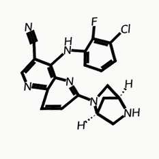 N#Cc1cnc2ccc(N3C[C@@H]4C[C@H]3CN4)nc2c1Nc1cccc(Cl)c1F